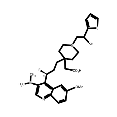 COc1ccc2ncc(N(C)C)c([C@@H](F)CCC3(CC(=O)O)CCN(CC(S)c4cccs4)CC3)c2c1